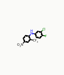 O=[N+]([O-])c1ccc(Nc2ccc(F)c(Cl)c2)c(C(F)(F)F)c1